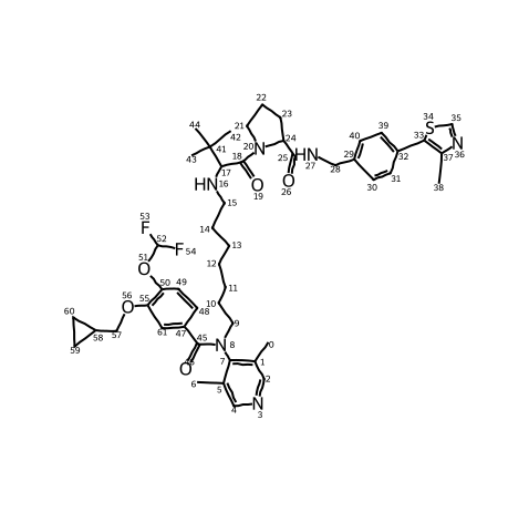 Cc1cncc(C)c1N(CCCCCCCNC(C(=O)N1CCCC1C(=O)NCc1ccc(-c2scnc2C)cc1)C(C)(C)C)C(=O)c1ccc(OC(F)F)c(OCC2CC2)c1